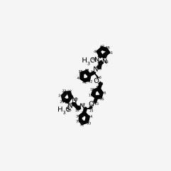 Cn1c(/C=N/[C@@H](COCc2ccc(COC[C@H](/N=C/c3nc4ccccc4n3C)c3ccccc3)cc2)c2ccccc2)nc2ccccc21